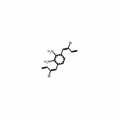 C=C/C(Br)=C\c1ccc(/C=C(/Br)C=C)c(N)c1N